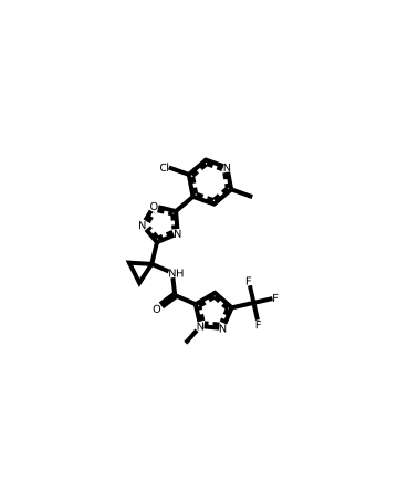 Cc1cc(-c2nc(C3(NC(=O)c4cc(C(F)(F)F)nn4C)CC3)no2)c(Cl)cn1